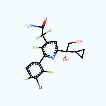 NC(=O)C(F)(F)c1cc([C@@](O)(CO)C2CC2)nc(-c2ccc(F)c(Cl)c2F)c1F